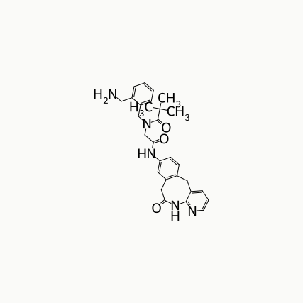 CC(C)(C)C(=O)N(CC(=O)Nc1ccc2c(c1)CC(=O)Nc1ncccc1C2)Cc1ccccc1CN